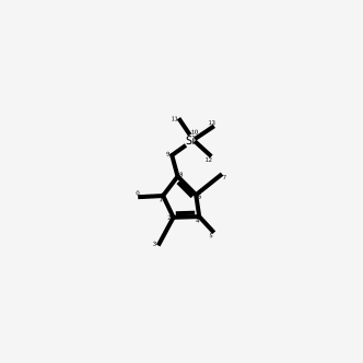 C[C]1C(C)=C(C)C(C)=C1C[Si](C)(C)C